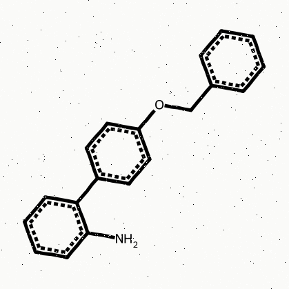 Nc1ccccc1-c1ccc(OCc2ccccc2)cc1